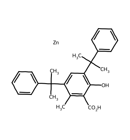 Cc1c(C(C)(C)c2ccccc2)cc(C(C)(C)c2ccccc2)c(O)c1C(=O)O.[Zn]